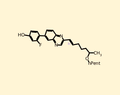 CCCCCOC(C)CCC/C=C/c1cnc2cc(-c3ccc(O)cc3F)ccc2n1